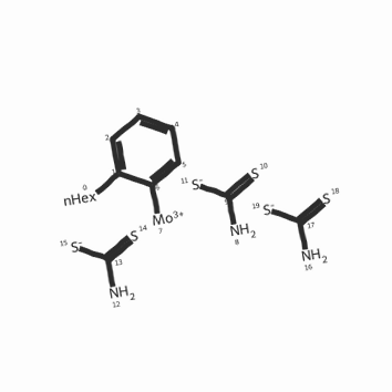 CCCCCCc1cccc[c]1[Mo+3].NC(=S)[S-].NC(=S)[S-].NC(=S)[S-]